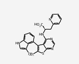 CCc1sc2ncnc(N[C@H](Cc3ccccn3)C(=O)O)c2c1-c1cccc2[nH]cc(Cl)c12